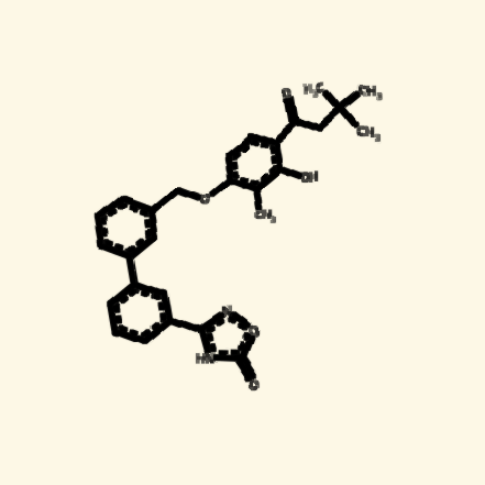 Cc1c(OCc2cccc(-c3cccc(-c4noc(=O)[nH]4)c3)c2)ccc(C(=O)CC(C)(C)C)c1O